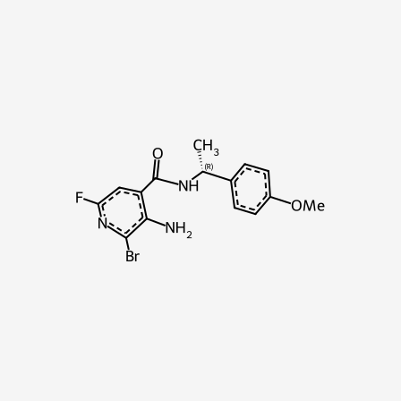 COc1ccc([C@@H](C)NC(=O)c2cc(F)nc(Br)c2N)cc1